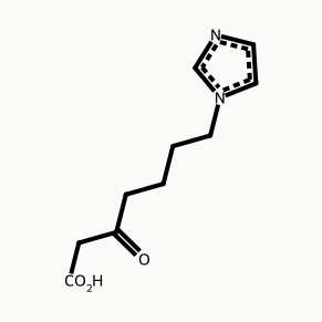 O=C(O)CC(=O)CCCCn1ccnc1